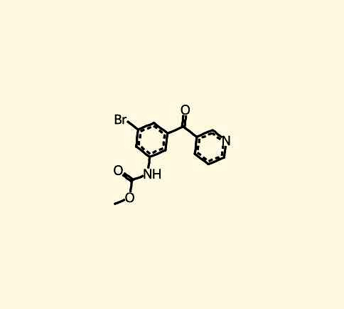 COC(=O)Nc1cc(Br)cc(C(=O)c2cccnc2)c1